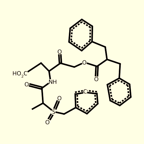 CC(C(=O)NC(CC(=O)O)C(=O)COC(=O)C(Cc1ccccc1)Cc1ccccc1)S(=O)(=O)Cc1ccccc1